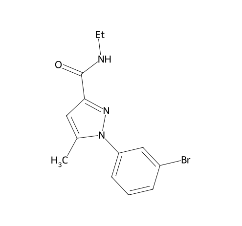 CCNC(=O)c1cc(C)n(-c2cccc(Br)c2)n1